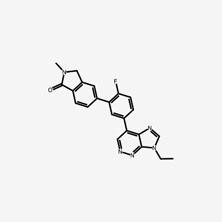 CCn1cnc2c(-c3ccc(F)c(-c4ccc5c(c4)CN(C)C5=O)c3)cnnc21